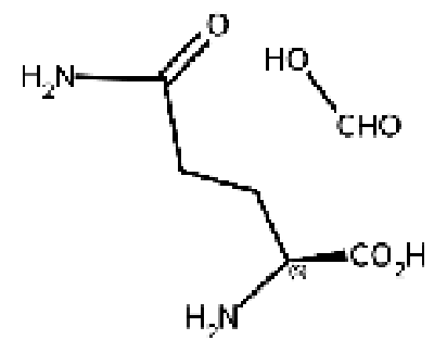 NC(=O)CC[C@H](N)C(=O)O.O=CO